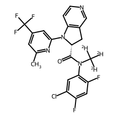 [2H]C([2H])([2H])N(C(=O)[C@H]1Cc2cnccc2N1c1cc(C(F)(F)F)cc(C)n1)c1cc(Cl)c(F)cc1F